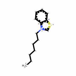 CCCCCCC[n+]1csc2ccccc21